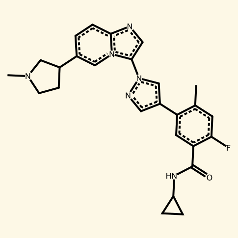 Cc1cc(F)c(C(=O)NC2CC2)cc1-c1cnn(-c2cnc3ccc(C4CCN(C)C4)cn23)c1